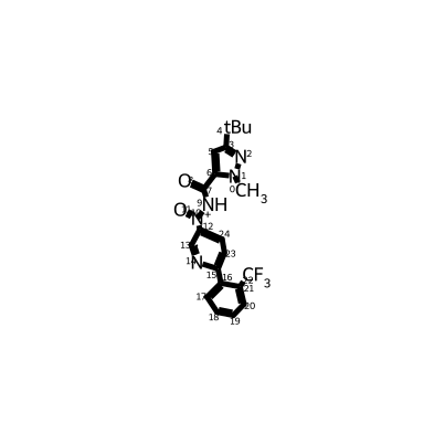 Cn1nc(C(C)(C)C)cc1C(=O)N[N+](=O)c1[c]nc(-c2ccccc2C(F)(F)F)cc1